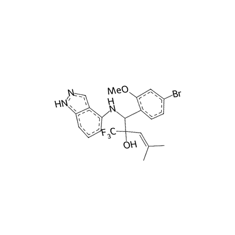 COc1cc(Br)ccc1C(Nc1cccc2[nH]ncc12)C(O)(C=C(C)C)C(F)(F)F